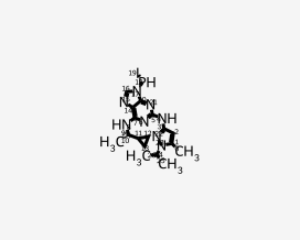 Cc1cc(Nc2nc(N[C@@H](C)C3CC3)c3ncn(PI)c3n2)nn1C(C)C